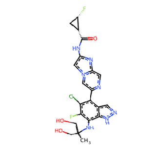 CC(CO)(CO)Nc1c(F)c(Cl)c(-c2cn3cc(NC(=O)[C@@H]4C[C@@H]4F)nc3cn2)c2cn[nH]c12